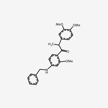 COc1ccc(C(C)C(=O)c2ccc(NCc3ccccc3)cc2OC)cc1OC